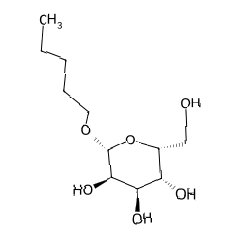 CCCCCO[C@@H]1O[C@H](CO)[C@H](O)[C@@H](O)[C@H]1O